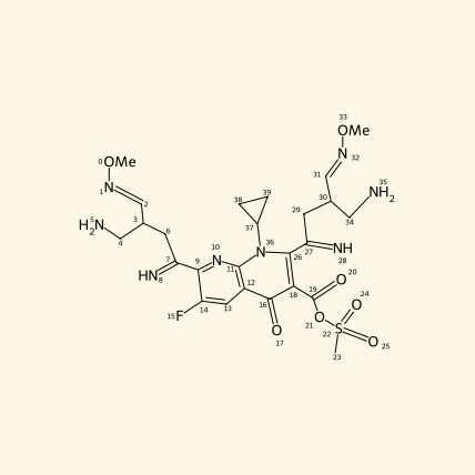 CON=CC(CN)CC(=N)c1nc2c(cc1F)c(=O)c(C(=O)OS(C)(=O)=O)c(C(=N)CC(C=NOC)CN)n2C1CC1